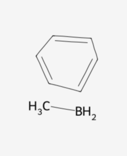 BC.c1ccccc1